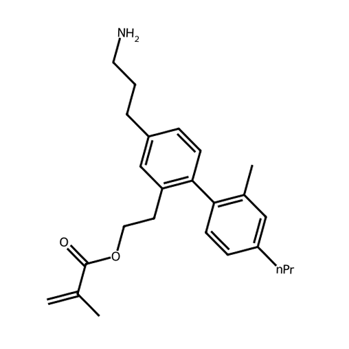 C=C(C)C(=O)OCCc1cc(CCCN)ccc1-c1ccc(CCC)cc1C